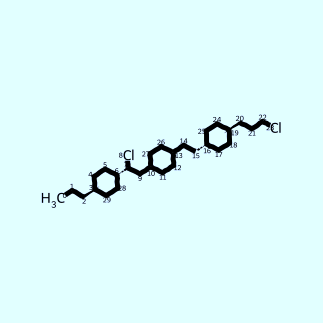 CCC[C@H]1CC[C@H](C(Cl)CC2CCC(CC[C@H]3CC[C@H](CCCCl)CC3)CC2)CC1